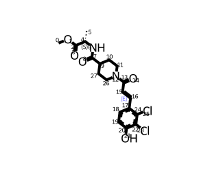 COC(=O)[C@H](C)NC(=O)C1CCN(C(=O)/C=C/c2ccc(O)c(Cl)c2Cl)CC1